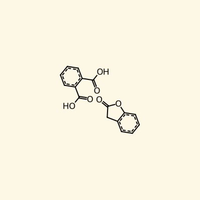 O=C(O)c1ccccc1C(=O)O.O=C1Cc2ccccc2O1